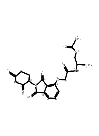 CCCCCCC(COC(N)=O)NC(=O)COc1cccc2c1C(=O)N(C1CCC(=O)NC1=O)C2=O